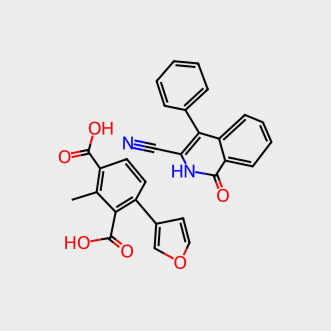 Cc1c(C(=O)O)ccc(-c2ccoc2)c1C(=O)O.N#Cc1[nH]c(=O)c2ccccc2c1-c1ccccc1